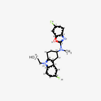 CN(c1nc2ccc(F)cc2o1)C1CCc2c(c3cc(F)ccc3n2CC(=O)O)C1